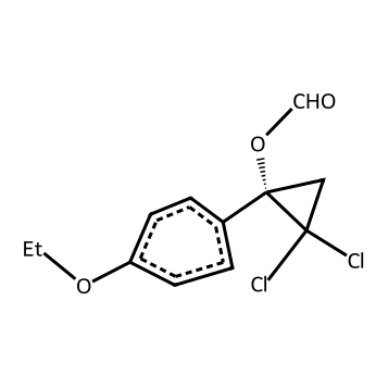 CCOc1ccc([C@@]2(OC=O)CC2(Cl)Cl)cc1